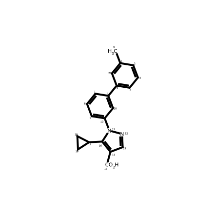 Cc1cccc(-c2cccc(-n3ncc(C(=O)O)c3C3CC3)c2)c1